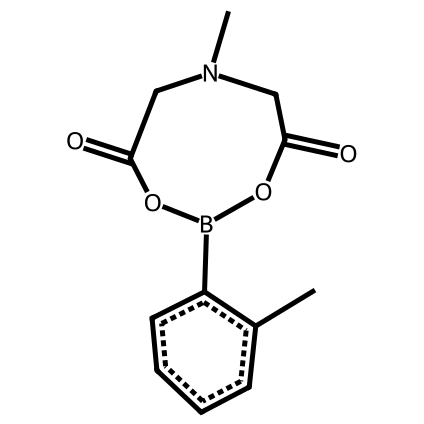 Cc1ccccc1B1OC(=O)CN(C)CC(=O)O1